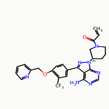 C=CC(=O)N1CCC[C@@H](n2nc(-c3ccc(OCc4ccccn4)c(C(F)(F)F)c3)c3c(N)ncnc32)C1